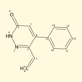 C=Cc1n[nH]c(=O)cc1-c1ccccc1